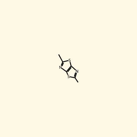 Cc1nc2sc(C)nc2s1